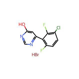 Br.Oc1cc(-c2c(F)ccc(Cl)c2F)ncn1